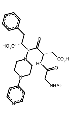 CC(=O)NCC(=O)N[C@@H](CC(=O)O)C(=O)N([C@@H](Cc1ccccc1)C(=O)O)N1CCN(c2ccncc2)CC1